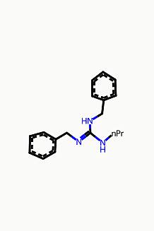 [CH2]CCNC(=NCc1ccccc1)NCc1ccccc1